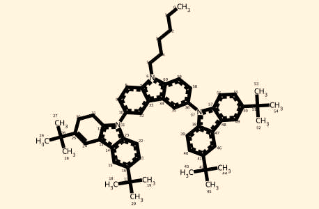 CCCCCCn1c2ccc(-n3c4c(c5cc(C(C)(C)C)ccc53)C=C(C(C)(C)C)CC4)cc2c2cc(-n3c4ccc(C(C)(C)C)cc4c4cc(C(C)(C)C)ccc43)ccc21